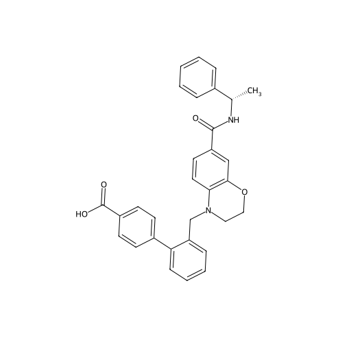 C[C@H](NC(=O)c1ccc2c(c1)OCCN2Cc1ccccc1-c1ccc(C(=O)O)cc1)c1ccccc1